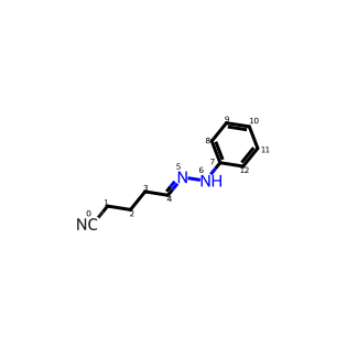 N#CCCCC=NNc1ccccc1